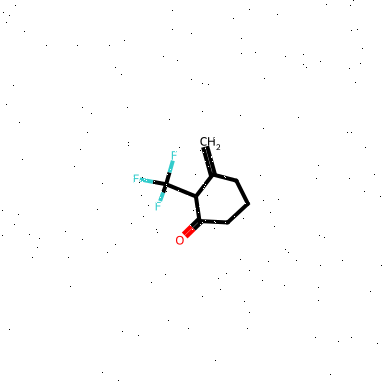 C=C1CCCC(=O)C1C(F)(F)F